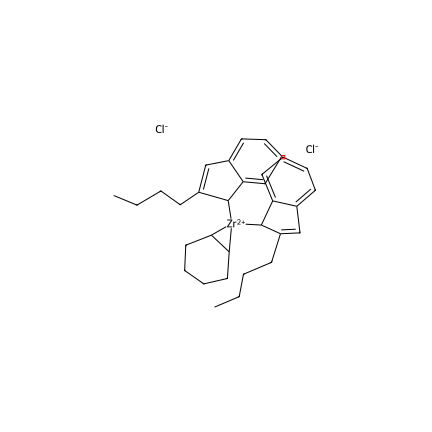 CCCCC1=Cc2ccccc2[CH]1[Zr+2]1([CH]2C(CCCC)=Cc3ccccc32)[CH]2CCCC[CH]21.[Cl-].[Cl-]